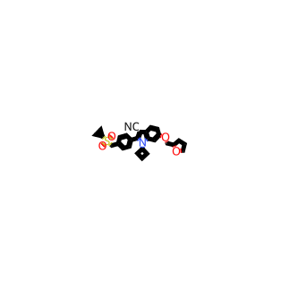 N#Cc1c(-c2ccc(CS(=O)(=O)C3CC3)cc2)n(C2CCC2)c2cc(OCC3CCCO3)ccc12